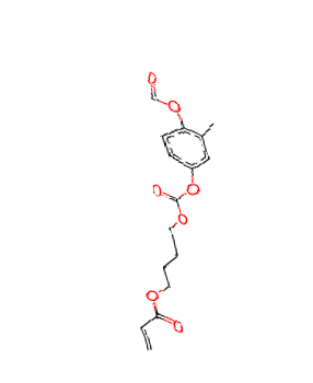 C=CC(=O)OCCCCOC(=O)Oc1ccc(OC=O)c(C)c1